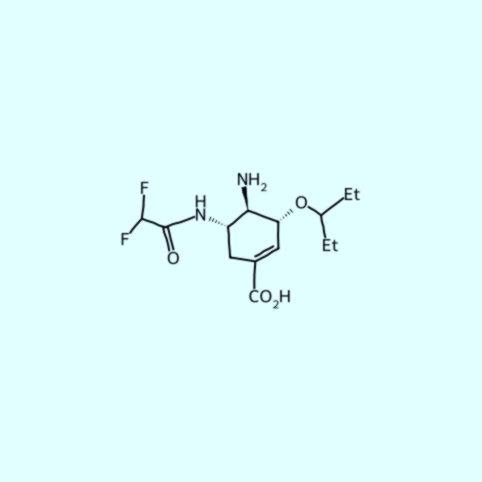 CCC(CC)O[C@@H]1C=C(C(=O)O)C[C@H](NC(=O)C(F)F)[C@H]1N